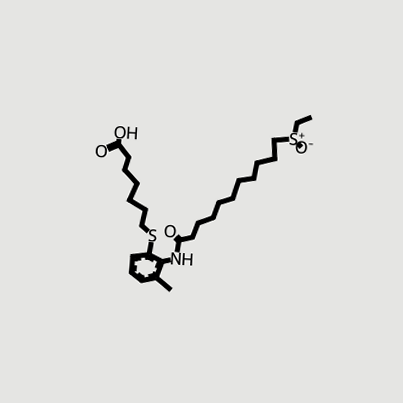 CC[S+]([O-])CCCCCCCCCCC(=O)Nc1c(C)cccc1SCCCCCCC(=O)O